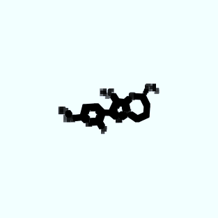 Cc1c(-c2ccc(NC(C)C)nc2F)nn2c1O[C@H](C)CCC2